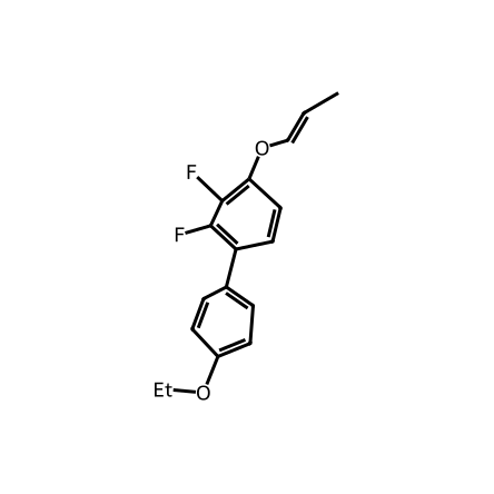 C/C=C/Oc1ccc(-c2ccc(OCC)cc2)c(F)c1F